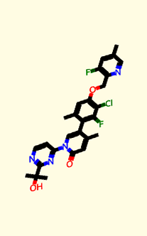 Cc1cnc(COc2cc(C)c(-c3cn(-c4ccnc(C(C)(C)O)n4)c(=O)cc3C)c(F)c2Cl)c(F)c1